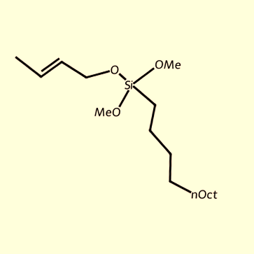 CC=CCO[Si](CCCCCCCCCCCC)(OC)OC